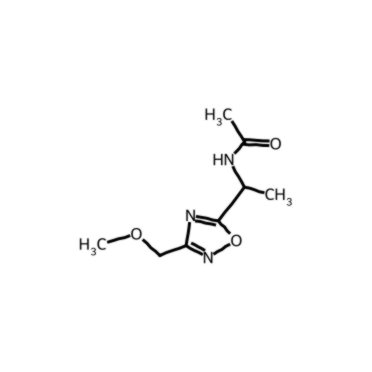 COCc1noc(C(C)NC(C)=O)n1